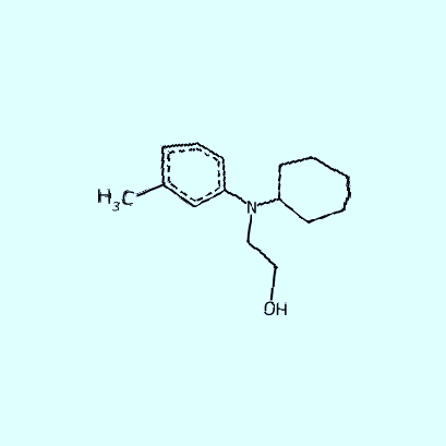 Cc1cccc(N(CCO)C2CCCCC2)c1